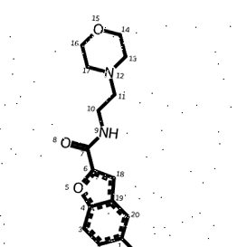 Cc1ccc2oc(C(=O)NCCN3CCOCC3)cc2c1